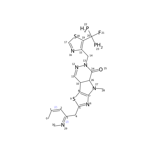 C/C=C\C(Cc1nc2c(s1)C1C=NN(Cc3ncsc3C(F)(P)P)C(=O)C1N2C)=N/C